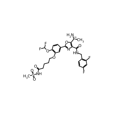 C[C@H](N)c1oc(-c2ccc(OC(F)F)c(OCCCCC(=O)NS(C)(=O)=O)c2)nc1C(=O)NCc1ccc(F)cc1F